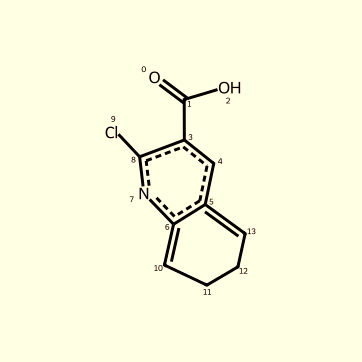 O=C(O)c1cc2c(nc1Cl)=CCCC=2